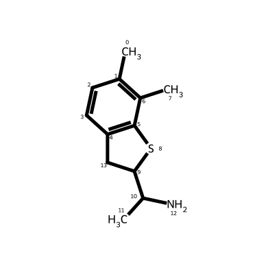 Cc1ccc2c(c1C)SC(C(C)N)C2